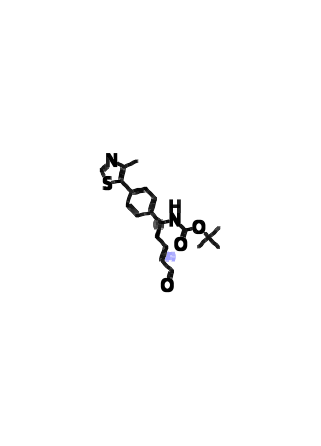 Cc1ncsc1-c1ccc([C@H](C/C=C/C=O)NC(=O)OC(C)(C)C)cc1